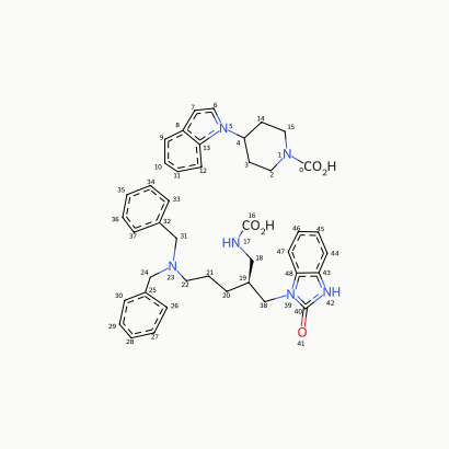 O=C(O)N1CCC(n2ccc3ccccc32)CC1.O=C(O)NC[C@H](CCCN(Cc1ccccc1)Cc1ccccc1)Cn1c(=O)[nH]c2ccccc21